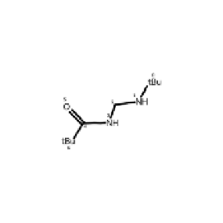 CC(C)(C)NCNC(=O)C(C)(C)C